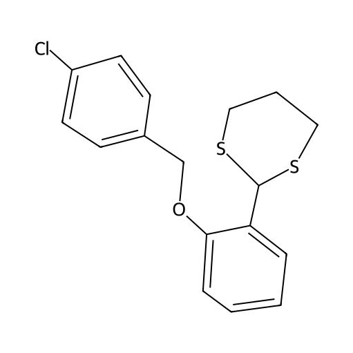 Clc1ccc(COc2ccccc2C2SCCCS2)cc1